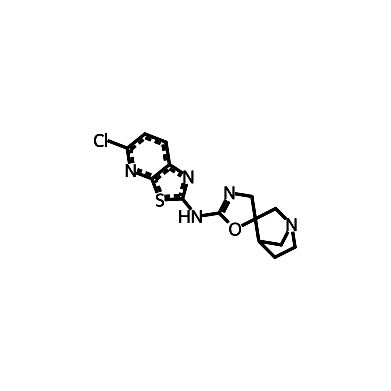 Clc1ccc2nc(NC3=NCC4(CN5CCC4C5)O3)sc2n1